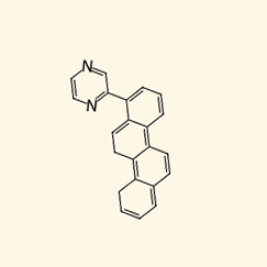 C1=CCc2c3c(ccc2=C1)=c1cccc(-c2cnccn2)c1=CC3